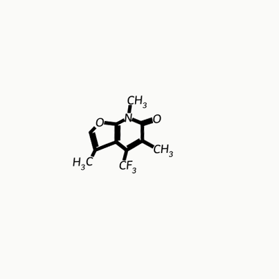 Cc1c(C(F)(F)F)c2c(C)coc2n(C)c1=O